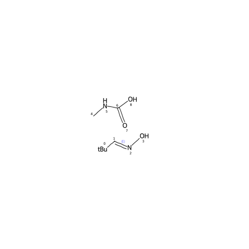 CC(C)(C)/C=N/O.CNC(=O)O